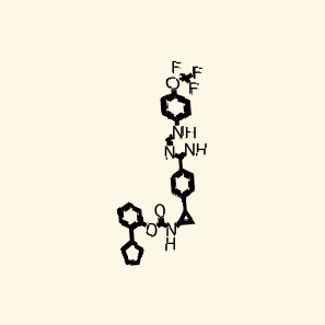 N=C(/N=C\Nc1ccc(OC(F)(F)F)cc1)c1ccc(C2CC2NC(=O)Oc2ccccc2C2CCCC2)cc1